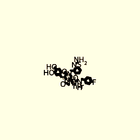 CCCN(C(=O)NCc1ccc(F)cc1)N1CC(=O)N2[C@@H](Cc3ccc(O)c(O)c3)C(=O)N(Cc3cccc4sc(N)nc34)C[C@@H]21